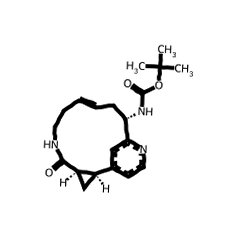 CC(C)(C)OC(=O)N[C@H]1C/C=C/CCNC(=O)[C@@H]2C[C@@H]2c2ccnc1c2